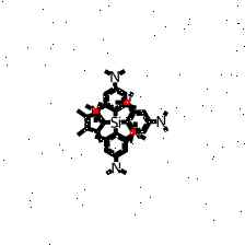 CC1=C(C)C(C)C([Si](c2c(C)cc(N(C)C)cc2N(C)C)(c2c(C)cc(N(C)C)cc2N(C)C)c2c(C)cc(N(C)C)cc2N(C)C)=C1C